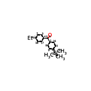 CCc1ccc(C(=O)c2ccc([Si](C)(C)C)cc2)cc1